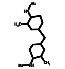 CCC(C)NC1CCC(CC2CCC(NC(C)CC)C(C)C2)CC1C